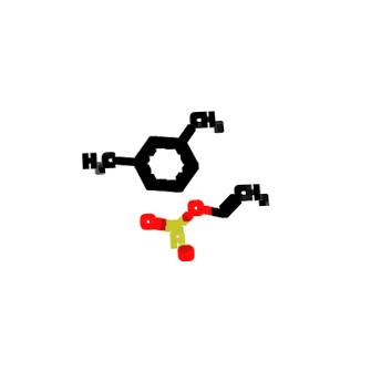 C=CO[SH](=O)=O.Cc1cccc(C)c1